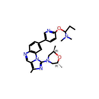 CCC(Oc1ccc(-c2ccc3ncc4c(C)nc(N5C[C@@H](C)O[C@H](C)C5)n4c3c2)cn1)N(C)C